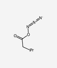 CC(C)CC(=O)ON=[N+]=[N-]